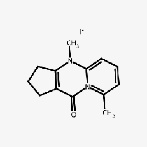 Cc1cccc2n(C)c3c(c(=O)[n+]12)CCC3.[I-]